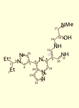 CCC(CC)n1cc(-c2nc(/C(C=N)=C/NCC(O)CNC)cn3nccc23)cn1